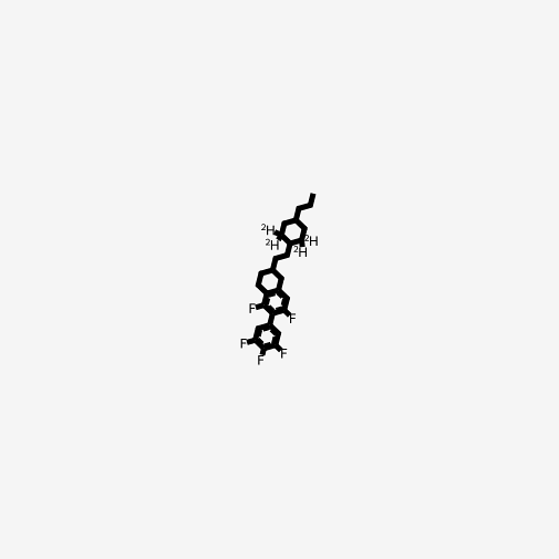 [2H]C1([2H])CC(CCC)CC([2H])([2H])C1CCC1CCc2c(cc(F)c(-c3cc(F)c(F)c(F)c3)c2F)C1